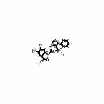 CC(=O)c1cc(Br)c(F)cc1NC(=O)NC(C)c1ncnn1-c1ncccn1